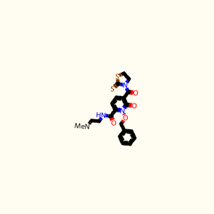 CNCCNC(=O)c1ccc(C(=O)N2CCSC2=S)c(=O)n1OCc1ccccc1